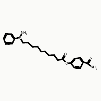 NC(=S)c1ccc(OC(=O)CCCCCCCCCP(N)c2ccccc2)cc1